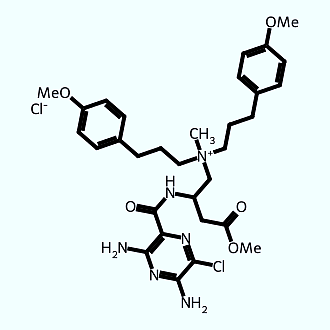 COC(=O)CC(C[N+](C)(CCCc1ccc(OC)cc1)CCCc1ccc(OC)cc1)NC(=O)c1nc(Cl)c(N)nc1N.[Cl-]